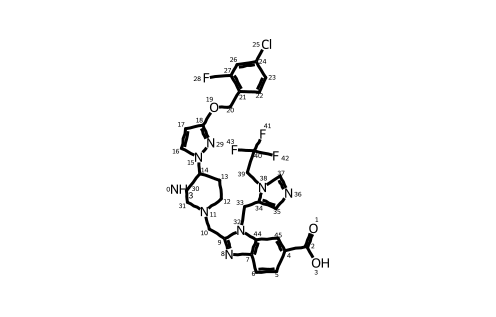 N.O=C(O)c1ccc2nc(CN3CCC(n4ccc(OCc5ccc(Cl)cc5F)n4)CC3)n(Cc3cncn3CC(F)(F)F)c2c1